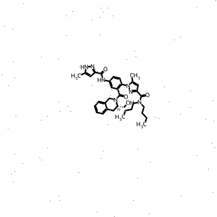 CCCCN(CCCC)C(=O)c1cc(C)n(-c2ccc(NC(=O)c3cc(C)[nH]n3)cc2C(=O)N2Cc3ccccc3C[C@H]2CO)n1